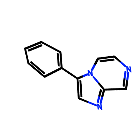 c1ccc(-c2cnc3cnccn23)cc1